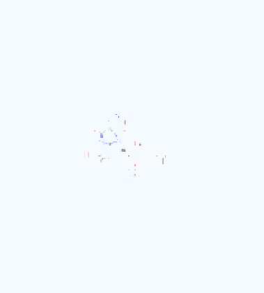 CSc1nc(=O)c(CN(C)C(=O)C(F)(F)F)cn1[C@@H]1O[C@H](CO[Si](C)(C)C(C)(C)C)C(O[Si](C)(C)C(C)(C)C)[C@@H]1CC(C)(C)[Si](C)(C)O